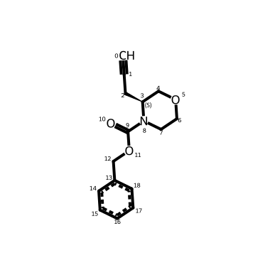 C#CC[C@H]1COCCN1C(=O)OCc1ccccc1